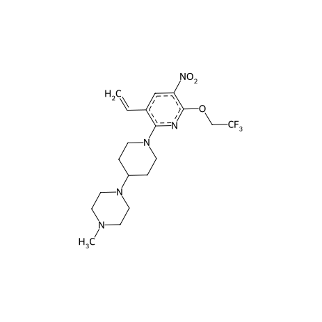 C=Cc1cc([N+](=O)[O-])c(OCC(F)(F)F)nc1N1CCC(N2CCN(C)CC2)CC1